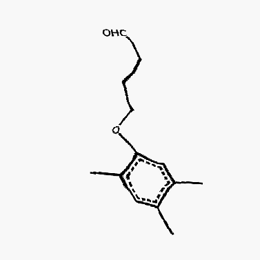 Cc1cc(C)c(OCCCC=O)cc1C